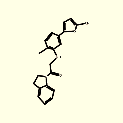 Cc1ccc(-c2ccc(C#N)s2)cc1NCC(=O)N1CCc2ccccc21